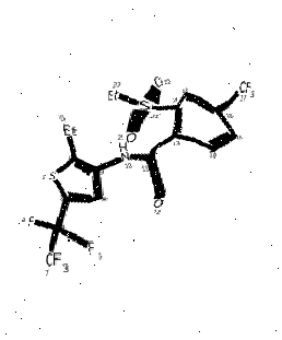 CCc1sc(C(F)(F)C(F)(F)F)cc1NC(=O)c1ccc(C(F)(F)F)cc1S(=O)(=O)CC